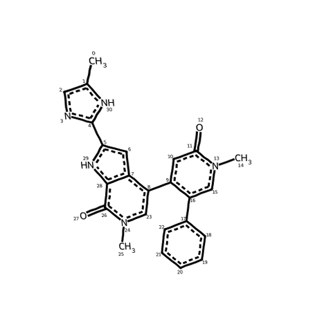 Cc1cnc(-c2cc3c(-c4cc(=O)n(C)cc4-c4ccccc4)cn(C)c(=O)c3[nH]2)[nH]1